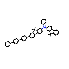 CC1(C)c2ccccc2-c2ccc(N(c3ccccc3)c3ccc4c(c3)C(C)(C)c3cc(-c5ccc(-c6ccc(-c7ccccc7)cc6)cc5)ccc3-4)cc21